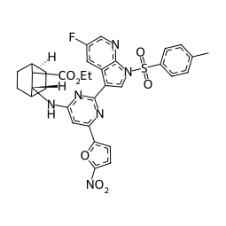 CCOC(=O)[C@@H]1C2CCC(CC2)[C@H]1Nc1cc(-c2ccc([N+](=O)[O-])o2)nc(-c2cn(S(=O)(=O)c3ccc(C)cc3)c3ncc(F)cc23)n1